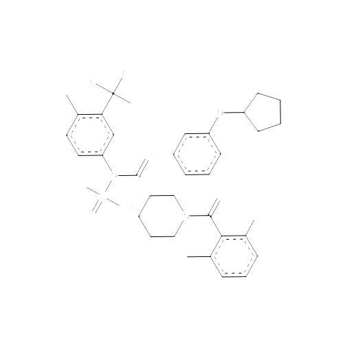 Cc1ccc(N(C(=O)[C@H]2CCCN(C(=O)c3c(C)cccc3F)[C@H]2c2ccc(NC3CCCC3)cc2)P(=O)(O)O)cc1C(F)(F)F